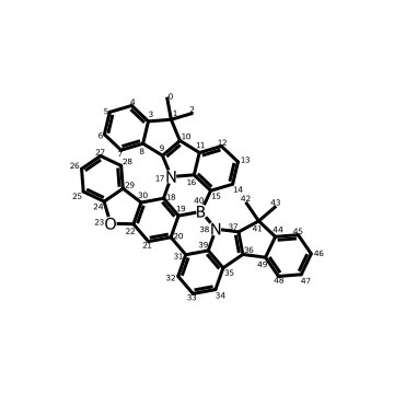 CC1(C)c2ccccc2-c2c1c1cccc3c1n2-c1c2c(cc4oc5ccccc5c14)-c1cccc4c5c(n(c14)B23)C(C)(C)c1ccccc1-5